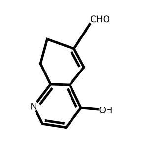 O=CC1=Cc2c(O)ccnc2CC1